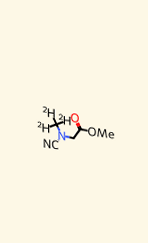 [2H]C([2H])([2H])N(C#N)CC(=O)OC